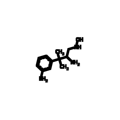 Bc1cccc(C(C)(C)C(N)CNO)c1